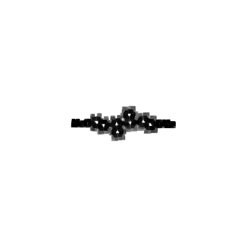 COc1ccc2cc(-c3ccc(-c4ccc(-c5ccc6cc(OC)ccc6c5)c5ccccc45)c4ccccc34)ccc2c1